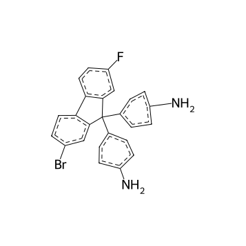 Nc1ccc(C2(c3ccc(N)cc3)c3cc(F)ccc3-c3ccc(Br)cc32)cc1